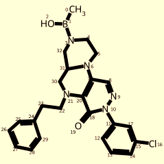 CB(O)N1CCN2c3cnn(-c4cccc(Cl)c4)c(=O)c3N(CCc3ccccc3)CC2C1